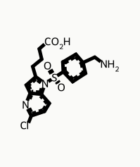 NCc1ccc(S(=O)(=O)n2c(CCCC(=O)O)cc3nc(Cl)ccc32)cc1